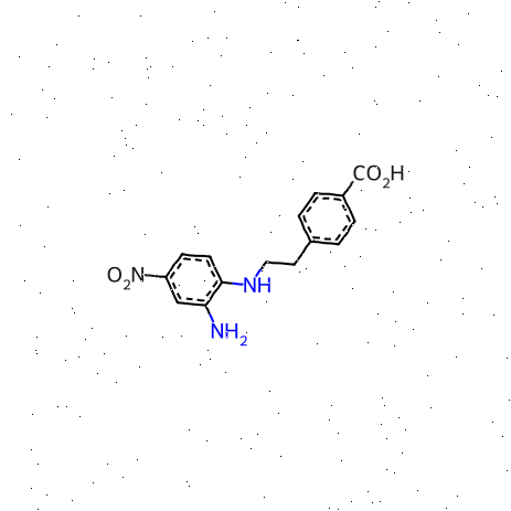 Nc1cc([N+](=O)[O-])ccc1NCCc1ccc(C(=O)O)cc1